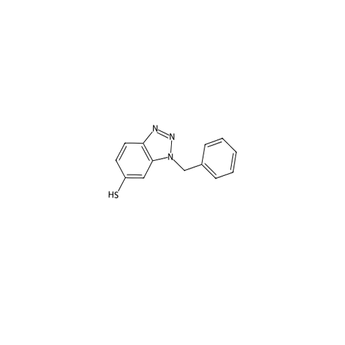 Sc1ccc2nnn(Cc3ccccc3)c2c1